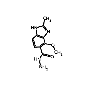 COc1c(C(=O)NN)ccc2[nH]c(C)nc12